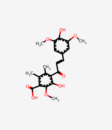 COc1cc(C=CC(=O)c2c(C)c(C)c(C(=O)O)c(OC)c2O)cc(OC)c1O